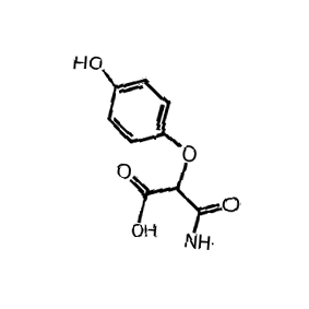 [NH]C(=O)C(Oc1ccc(O)cc1)C(=O)O